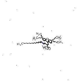 CCCCCCCCCCCCCCC/C=C/CC(CC1c2ccc(N(CCCC)CCCC)cc2Oc2cc(N(CCCC)CCCC)ccc21)C(=O)O